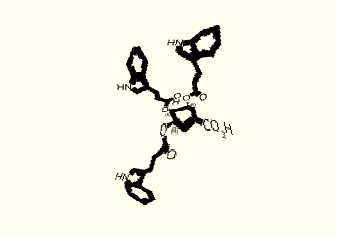 O=C(CCc1c[nH]c2ccccc12)O[C@@H]1C=C(C(=O)O)C[C@@H](OC(=O)CCc2c[nH]c3ccccc23)[C@@H]1OC(O)CCc1c[nH]c2ccccc12